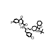 CC(C)(C)NC(=O)C1(C2CCCCC2)CCN(CC[C@H](Cc2ccc(Cl)cc2)NC(=O)c2cc(=O)c3ccc(F)cc3o2)CC1